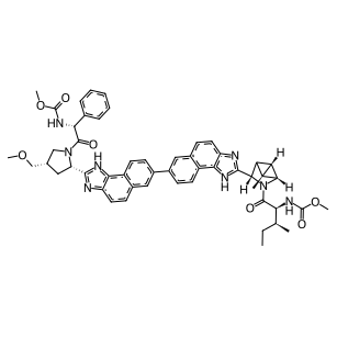 CC[C@H](C)[C@H](NC(=O)OC)C(=O)N1[C@H](c2nc3ccc4cc(-c5ccc6c(ccc7nc([C@@H]8C[C@H](COC)CN8C(=O)[C@H](NC(=O)OC)c8ccccc8)[nH]c76)c5)ccc4c3[nH]2)C2[C@@H]3[C@H]1[C@]23C